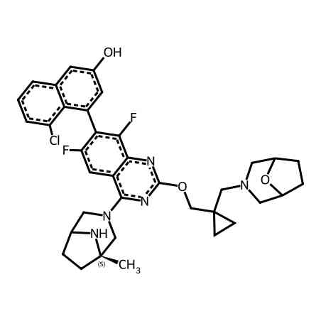 C[C@]12CCC(CN(c3nc(OCC4(CN5CC6CCC(C5)O6)CC4)nc4c(F)c(-c5cc(O)cc6cccc(Cl)c56)c(F)cc34)C1)N2